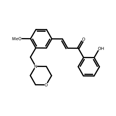 COc1ccc(C=CC(=O)c2ccccc2O)cc1CN1CCOCC1